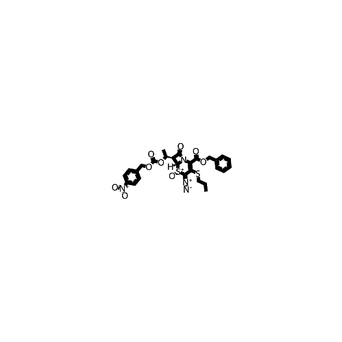 CCCSC1=C(C(=O)OCc2ccccc2)N2C(=O)[C@H](C(C)OC(=O)OCc3ccc([N+](=O)[O-])cc3)[C@H]2[S+]([O-])C1=[N+]=[N-]